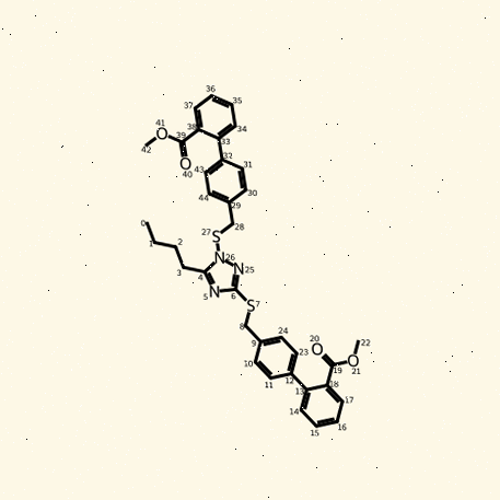 CCCCc1nc(SCc2ccc(-c3ccccc3C(=O)OC)cc2)nn1SCc1ccc(-c2ccccc2C(=O)OC)cc1